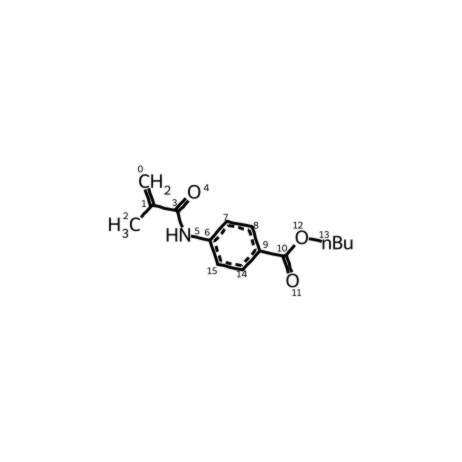 C=C(C)C(=O)Nc1ccc(C(=O)OCCCC)cc1